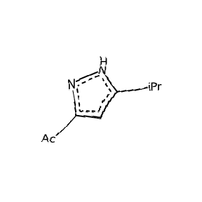 CC(=O)c1cc(C(C)C)[nH]n1